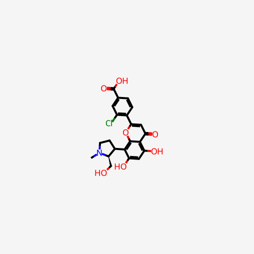 CN1CCC(c2c(O)cc(O)c3c(=O)cc(-c4ccc(C(=O)O)cc4Cl)oc23)[C@H]1CO